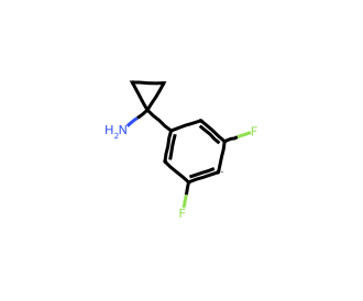 NC1(c2cc(F)[c]c(F)c2)CC1